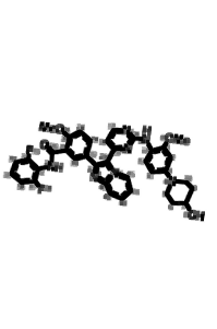 COc1cc(N2CCC(O)CC2)ccc1Nc1nccc(-c2c(-c3ccc(OC)c(C(=O)Nc4c(F)cccc4F)c3)nc3ccccn23)n1